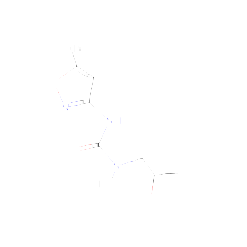 CC(O)CN(C)C(=O)Nc1cc(C(C)(C)C)on1